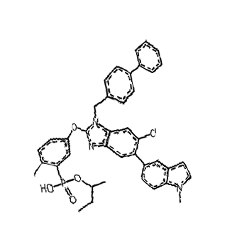 CCC(C)OP(=O)(O)c1cc(Oc2nc3cc(-c4ccc5c(ccn5C)c4)c(Cl)cc3n2Cc2ccc(-c3ccccc3)cc2)ccc1C